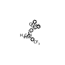 Cc1[nH]c(-c2ccc(C(F)(F)F)cc2)nc1CN1CCC(N(Cc2ccccc2)C(=O)Nc2ccccc2Cl)CC1